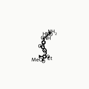 CCOc1cc(C(=O)OC)c(C2CC2)cc1CN1CCC2(CC1)CC(=O)N(c1ccc(C(=O)NCCNC(N)=O)cc1)C2